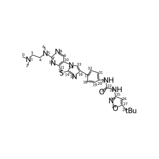 CN(C)CCN(C)c1ncc2c(n1)sc1nc(-c3ccc(NC(=O)Nc4cc(C(C)(C)C)on4)cc3)cn12